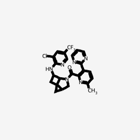 Cc1ccc(-c2ncccn2)c(C(=O)N2CC3CC34CC(Nc3ncc(C(F)(F)F)cc3Cl)C24)n1